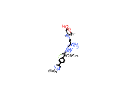 C=NN(/C=C(\N)CCN(C)[C@H]1C[C@@H](C)O[C@@H](O)C1)[C@H](CF)[C@H](OC)c1ccc(-c2cnc(NC)nc2)cc1